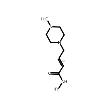 CC(C)NC(=O)/C=C/CN1CCN(C)CC1